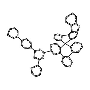 c1ccc(-c2ccc(-c3nc(-c4ccccc4)nc(-c4ccc5c(c4)-c4ccccc4-c4ccccc4C54c5ccccc5-c5c4ccc4sc6ccccc6c54)n3)cc2)cc1